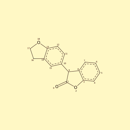 O=C1Oc2ccccc2C1c1ccc2c(c1)CCO2